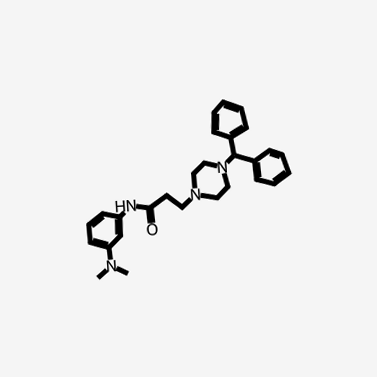 CN(C)c1cccc(NC(=O)CCN2CCN(C(c3ccccc3)c3ccccc3)CC2)c1